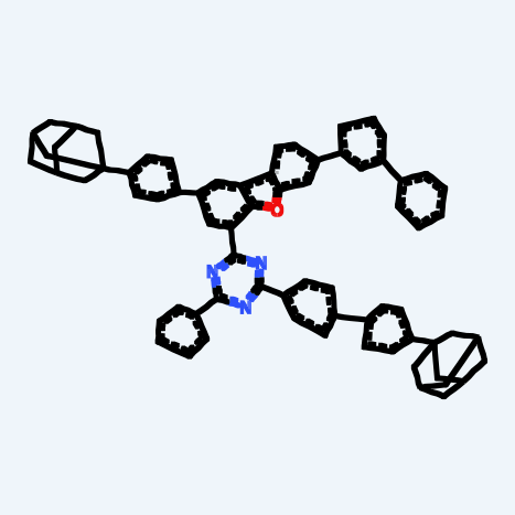 c1ccc(-c2cccc(-c3ccc4c(c3)oc3c(-c5nc(-c6ccccc6)nc(-c6ccc(-c7ccc(C89CC%10CC(CC(C%10)C8)C9)cc7)cc6)n5)cc(-c5ccc(C67CC8CC(CC(C8)C6)C7)cc5)cc34)c2)cc1